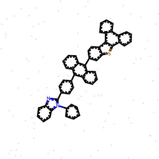 c1ccc(-n2c(-c3ccc(-c4c5ccccc5c(-c5ccc6c(c5)sc5c7ccccc7c7ccccc7c65)c5ccccc45)cc3)nc3ccccc32)cc1